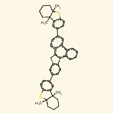 CC12CCCCC1(C)c1cc(-c3ccc4c(c3)Cc3c-4c4ccccc4c4cc(-c5ccc6c(c5)C5(C)CCCCC5(C)S6)ccc34)ccc1S2